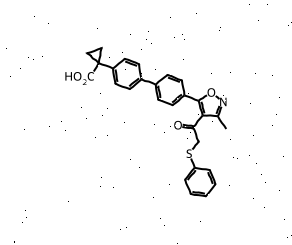 Cc1noc(-c2ccc(-c3ccc(C4(C(=O)O)CC4)cc3)cc2)c1C(=O)CSc1ccccc1